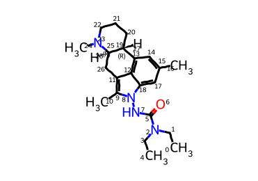 CCN(CC)C(=O)Nn1c(C)c2c3c(cc(C)cc31)[C@H]1CCCN(C)[C@@H]1C2